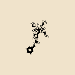 CCOP(=O)(OCC)C(O)(CCCNC(=O)OCc1ccccc1)P(=O)(OCC)OCC